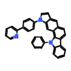 c1ccc(-n2c3ccccc3c3ccc4cc5ccn(-c6ccc(-c7ccccn7)cc6)c5cc4c32)cc1